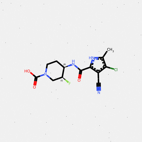 Cc1[nH]c(C(=O)N[C@@H]2CCN(C(=O)O)C[C@@H]2F)c(C#N)c1Cl